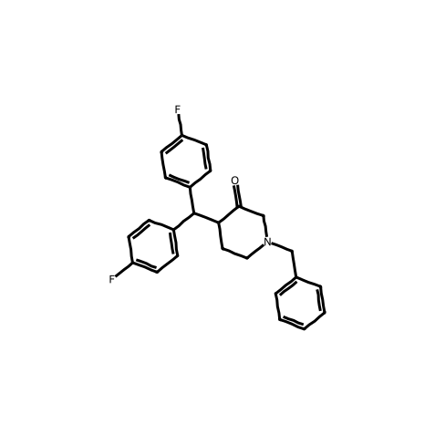 O=C1CN(Cc2ccccc2)CCC1C(c1ccc(F)cc1)c1ccc(F)cc1